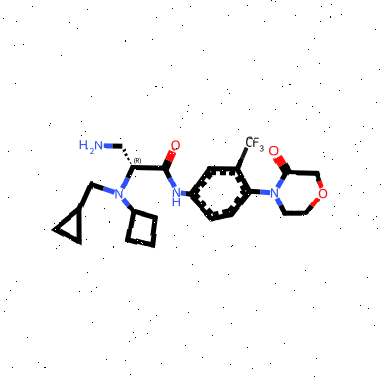 NC[C@H](C(=O)Nc1ccc(N2CCOCC2=O)c(C(F)(F)F)c1)N(CC1CC1)C1CCC1